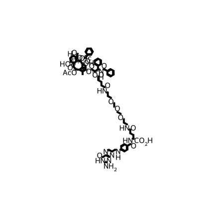 CC(=O)O[C@H]1C(=O)[C@@]2(C)[C@H]([C@H](OC(=O)c3ccccc3)[C@]3(O)C[C@H](OC(=O)[C@H](OC(=O)CCCC(=O)NCCCOCCOCCOCCCNC(=O)CCC(NC(=O)c4ccc(NCc5cnc6c(=O)[nH]c(N)nc6n5)cc4)C(=O)O)[C@@H](NC(=O)c4ccccc4)c4ccccc4)C(C)=C1C3(C)C)[C@]1(OC(C)=O)CO[C@@H]1C[C@@H]2O